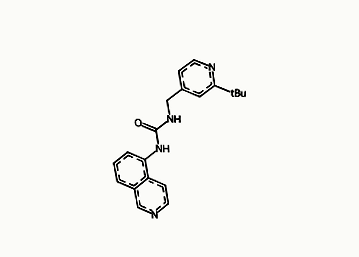 CC(C)(C)c1cc(CNC(=O)Nc2cccc3cnccc23)ccn1